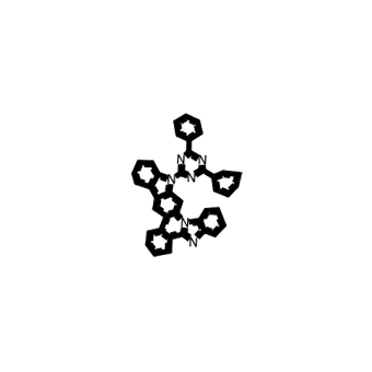 c1ccc(-c2nc(-c3ccccc3)nc(-n3c4ccccc4c4cc5c6ccccc6c6nc7ccccc7n6c5cc43)n2)cc1